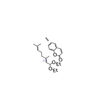 C=C.CCOC(/C=C(\C)CCC=C(C)C)OCC.O=c1ccc2ccccc2o1